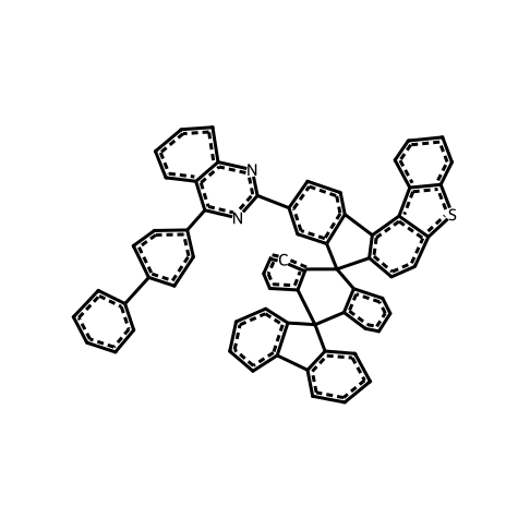 c1ccc(-c2ccc(-c3nc(-c4ccc5c(c4)C4(c6ccccc6C6(c7ccccc7-c7ccccc76)c6ccccc64)c4ccc6sc7ccccc7c6c4-5)nc4ccccc34)cc2)cc1